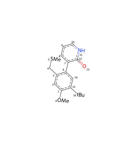 COc1cc(CSC)c(-c2ccc[nH]c2=O)cc1C(C)(C)C